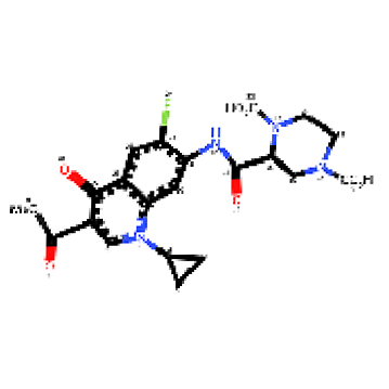 COC(=O)c1cn(C2CC2)c2cc(NC(=O)C3CN(C(=O)O)CCN3C(=O)O)c(F)cc2c1=O